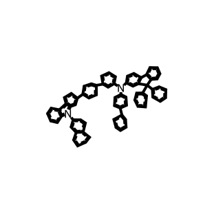 c1ccc(-c2ccc(N(c3cccc(-c4ccc(-c5ccc6c7ccccc7n(-c7ccc8ccccc8c7)c6c5)cc4)c3)c3ccc4c(c3)C(c3ccccc3)(c3ccccc3)c3ccccc3-4)cc2)cc1